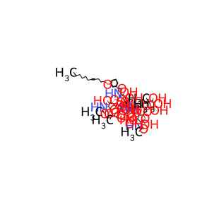 CCCCCCC#CCCCOc1cccc(C(=O)N[C@@H]2C(O[C@H]3C(O)C(NC(C)=O)[C@H](OC(C)C(CO)O[C@@H](O[C@H]4C(O)C(NC(C)=O)C(OC5C(CO[C@@H]6OC(C)C(O)[C@H](O)[C@H]6O)OC(O)[C@@H](NC(C)=O)[C@H]5O)O[C@H]4CO)C(O)NC(C)=O)O[C@H]3CO)OC(CO)[C@@H](O)[C@@H]2O)c1